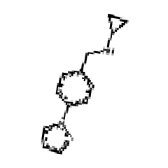 c1cnn(-c2ccc(CNC3CC3)cc2)c1